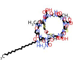 CCCCCCCCCCCCCCCCCCCC(=O)N[C@H]1C[C@H]2C(=O)N[C@@H](CCC(N)=O)C(=O)N[C@H]3CSCCOCCSC[C@H](NC(=O)[C@H](CCC(=O)O)NC(=O)CNC(=O)[C@H]([C@@H](C)O)NC(=O)[C@H](CCC(=O)O)NC(=O)[C@@H]4CSCN4C(=O)[C@H](CC(=O)O)NC3=O)C(=O)N[C@@H](CC(C)C)C(=O)N3CCC[C@@H]3C(=O)N2C1